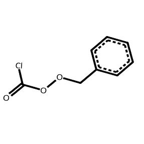 O=C(Cl)OOCc1ccccc1